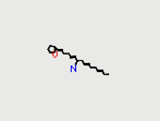 [CH2]CCCCCCCCC(C#N)CCCCC[C]1OC2CCC1C2